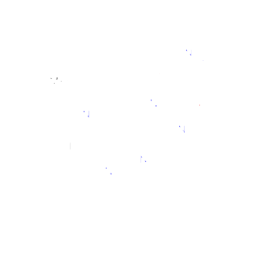 CCN(CCN(C)C(=O)c1nc(-c2ccc(OC)c3nc(C(F)(F)F)ccc23)oc1CN)C(=O)c1ccccn1